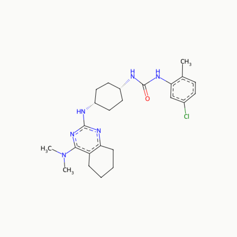 Cc1ccc(Cl)cc1NC(=O)N[C@H]1CC[C@@H](Nc2nc3c(c(N(C)C)n2)CCCC3)CC1